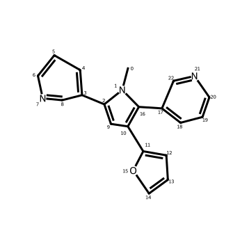 Cn1c(-c2cccnc2)cc(-c2ccco2)c1-c1cccnc1